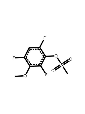 COc1c(F)cc(F)c(OS(C)(=O)=O)c1F